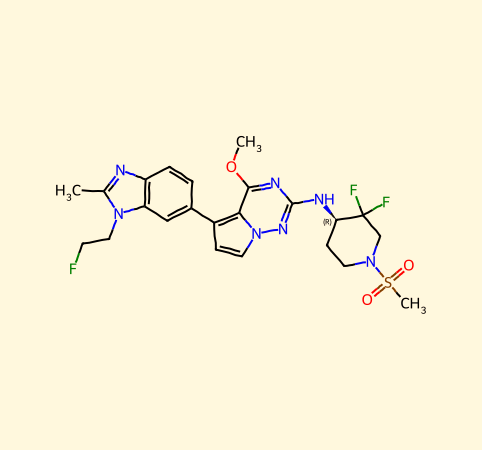 COc1nc(N[C@@H]2CCN(S(C)(=O)=O)CC2(F)F)nn2ccc(-c3ccc4nc(C)n(CCF)c4c3)c12